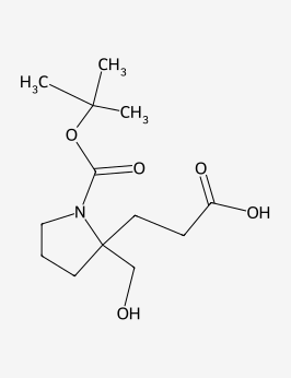 CC(C)(C)OC(=O)N1CCCC1(CO)CCC(=O)O